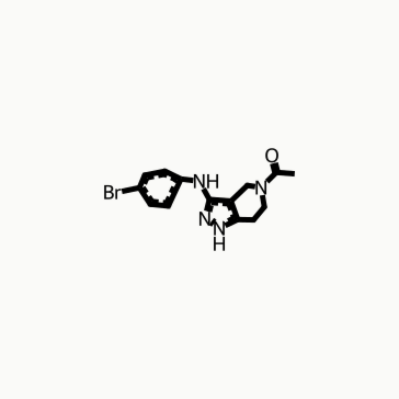 CC(=O)N1CCc2[nH]nc(Nc3ccc(Br)cc3)c2C1